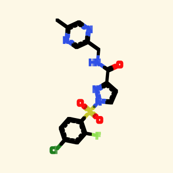 Cc1cnc(CNC(=O)c2ccn(S(=O)(=O)c3ccc(Cl)cc3F)n2)cn1